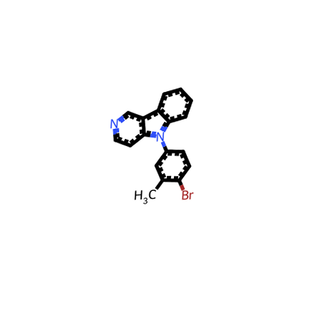 Cc1cc(-n2c3ccccc3c3cnccc32)ccc1Br